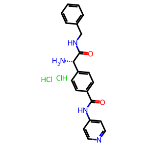 Cl.Cl.N[C@H](C(=O)NCc1ccccc1)c1ccc(C(=O)Nc2ccncc2)cc1